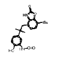 CC(C)(C)c1ccc(CC(C)(C)c2ccc(O)c(NC=O)c2)c2[nH]c(=O)oc12